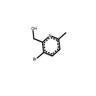 Cc1ccc(Br)c(CO)n1